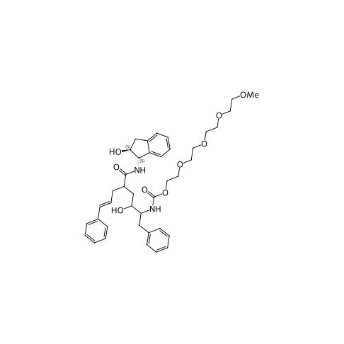 COCCOCCOCCOCCOC(=O)NC(Cc1ccccc1)C(O)CC(CC=Cc1ccccc1)C(=O)N[C@H]1c2ccccc2C[C@@H]1O